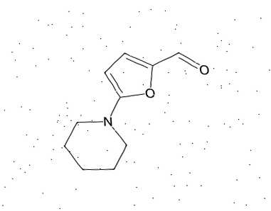 O=Cc1ccc(N2CCCCC2)o1